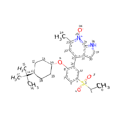 CCS(=O)(=O)c1ccc(O[C@H]2CC[C@H](C(C)(C)C)CC2)c(-c2cc(C)[n+]([O-])c3[nH]ccc23)c1